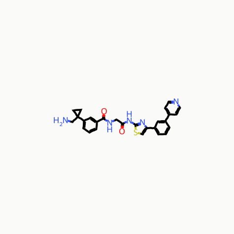 NCC1(c2cccc(C(=O)NCC(=O)Nc3nc(-c4cccc(-c5ccncc5)c4)cs3)c2)CC1